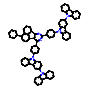 c1ccc(-c2ccc3c4c(cccc24)-c2nc(-c4ccc(-n5c6ccccc6c6cc(-n7c8ccccc8c8ccccc87)ccc65)cc4)nc(-c4ccc(-n5c6ccccc6c6cc(-n7c8ccccc8c8ccccc87)ccc65)cc4)c2-3)cc1